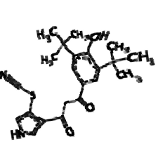 CC(C)(C)c1cc(C(=O)CC(=O)c2c[nH]cc2SC#N)cc(C(C)(C)C)c1O